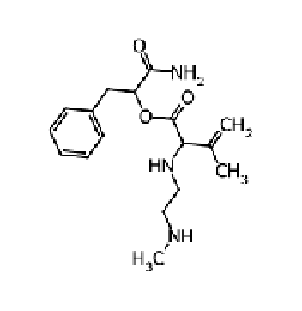 C=C(C)C(NCCNC)C(=O)OC(Cc1ccccc1)C(N)=O